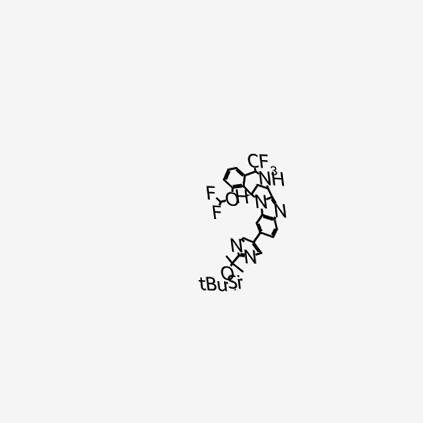 CC(C)(O[Si](C)(C)C(C)(C)C)c1ncc(-c2ccc3nc4n(c3c2)[C@@H]2CC4NC(C(F)(F)F)c3cccc(OC(F)F)c32)cn1